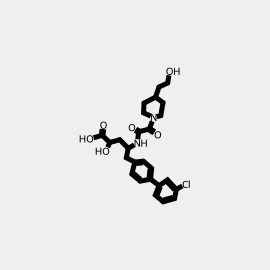 O=C(NC(Cc1ccc(-c2cccc(Cl)c2)cc1)CC(O)C(=O)O)C(=O)N1CCC(CCO)CC1